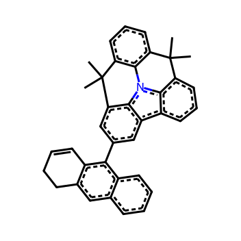 CC1(C)c2cccc3c2-n2c4c1cccc4c1cc(-c4c5c(cc6ccccc46)CCC=C5)cc(c12)C3(C)C